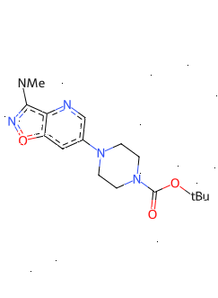 CNc1noc2cc(N3CCN(C(=O)OC(C)(C)C)CC3)cnc12